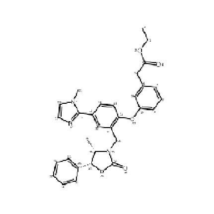 CCOC(=O)Cc1cccc(Oc2ccc(-c3nccn3C)cc2CN2C(=O)O[C@H](c3ccccc3)[C@@H]2C)c1